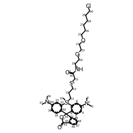 CN(C)c1ccc2c(c1)[Si](C)(CCCSCC(=O)NCCOCCOCCCCCCCl)c1cc(N(C)C)ccc1C21OC(=O)c2ccccc21